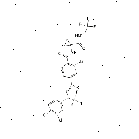 O=C(NC1(C(=O)NCC(F)(F)F)CC1)c1ccc(C(F)=CC(c2ccc(Cl)c(Cl)c2)C(F)(F)F)cc1Br